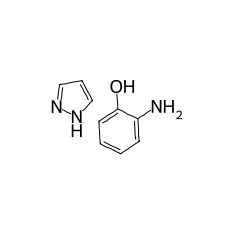 Nc1ccccc1O.c1cn[nH]c1